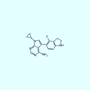 Nc1ncnc2c1c(-c1ccc3c(c1F)CCN3)cn2C1CC1